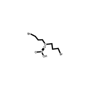 BrCCCOCCCBr.O=[N+]([O-])O